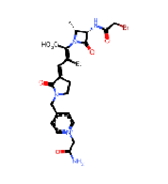 CCC(/C=C1\CCN(Cc2cc[n+](CC(N)=O)cc2)C1=O)=C(/C(=O)O)N1C(=O)[C@@H](NC(=O)CBr)[C@H]1C